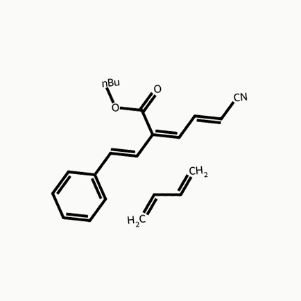 C=CC=C.CCCCOC(=O)C(C=Cc1ccccc1)=CC=CC#N